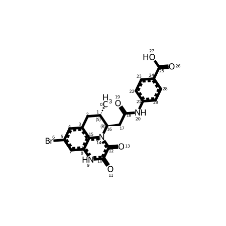 C[C@H]1Cc2cc(Br)cc3[nH]c(=O)c(=O)n(c23)[C@@H]1CC(=O)Nc1ccc(C(=O)O)cc1